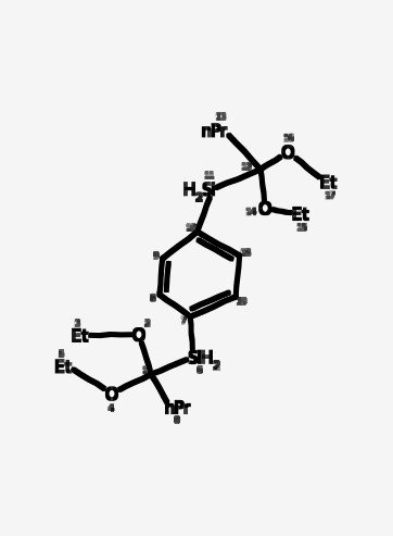 CCCC(OCC)(OCC)[SiH2]c1ccc([SiH2]C(CCC)(OCC)OCC)cc1